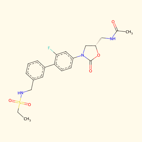 CCS(=O)(=O)NCc1cccc(-c2ccc(N3C[C@H](CNC(C)=O)OC3=O)cc2F)c1